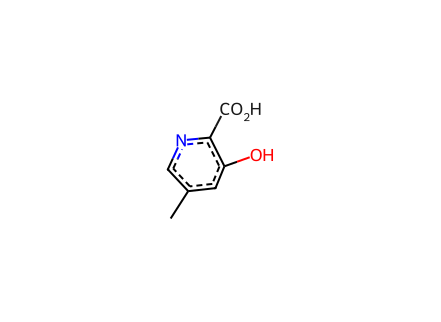 Cc1cnc(C(=O)O)c(O)c1